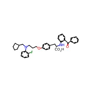 O=C(c1ccccc1)c1ccccc1N[C@@H](Cc1ccc(OCCCN(CC2CCCC2)c2ccccc2F)cc1)C(=O)O